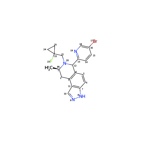 C[C@@H]1Cc2c(ccc3[nH]ncc23)C(c2ccc(Br)cn2)N1CC1(F)CC1